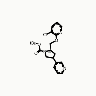 CC(C)(C)OC(=O)N1CC(c2cccnc2)C[C@@H]1COc1ncccc1Cl